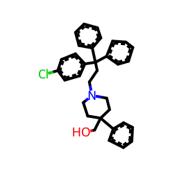 OCC1(c2ccccc2)CCN(CCC(c2ccccc2)(c2ccccc2)c2ccc(Cl)cc2)CC1